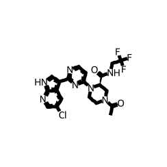 CC(=O)N1CCN(c2ccnc(-c3c[nH]c4ncc(Cl)cc34)n2)[C@@H](C(=O)NCC(F)(F)F)C1